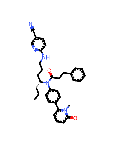 CCC[C@H](CCCNc1ccc(C#N)cn1)N(C(=O)CCc1ccccc1)c1ccc(-c2cccc(=O)n2C)cc1